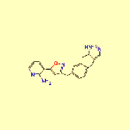 CC1NC=NC=C1Cc1ccc(Cc2cc(-c3cccnc3N)on2)cc1